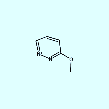 COC1=N[N+]=CC=C1